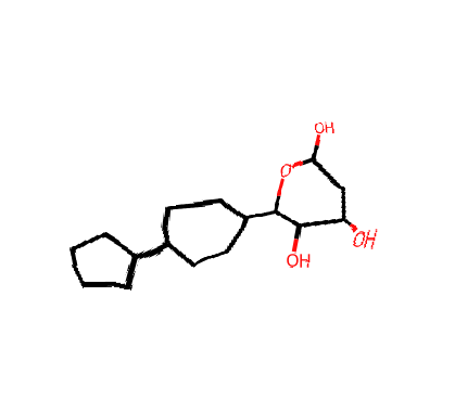 OC1CC(O)C(O)C(C2CCC(C3CCCC3)CC2)O1